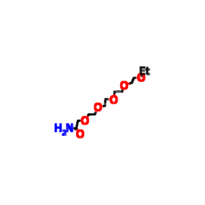 CCOCCOCCOCCOCCOCC(N)=O